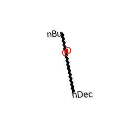 CCCC/C=C\CCCCCCCC(=O)OCCCCCCCCCCCCCCCCCCCCCCCCCCCCCC